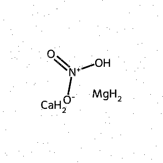 O=[N+]([O-])O.[CaH2].[MgH2]